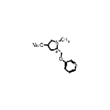 COC1C[C@@H](COc2cccnc2)N(C)C1